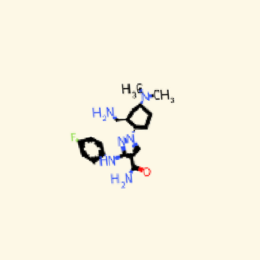 CN(C)[C@H]1CC[C@H](n2cc(C(N)=O)c(Nc3ccc(F)cc3)n2)[C@@H](CN)C1